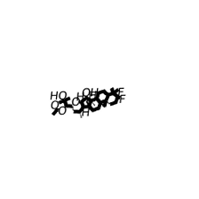 CC(=O)O[C@@H]([C@H]1C[C@@H](C)[C@H]2[C@H](O1)[C@H](O)[C@@]1(C)[C@@H]3CCC4C(C)(C)C(F)(F)CC[C@@]45C[C@@]35CC[C@]21C)C(C)(C)O